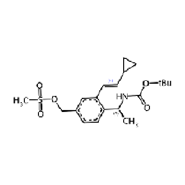 C[C@H](NC(=O)OC(C)(C)C)c1ccc(COS(C)(=O)=O)cc1/C=C/C1CC1